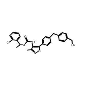 Cc1noc(-c2ccc(Cc3ccc(CC#N)cc3)cc2)c1NC(=O)OC(C)c1ccccc1Cl